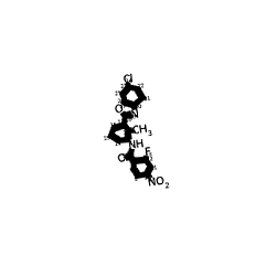 Cc1c(NC(=O)c2ccc([N+](=O)[O-])cc2F)cccc1-c1nc2ccc(Cl)cc2o1